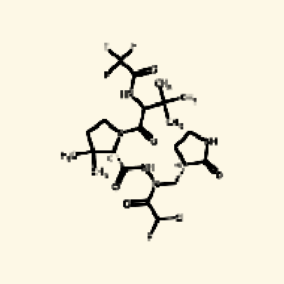 CC(C)(C)C(NC(=O)C(F)(F)F)C(=O)N1CCC(C)(C)[C@H]1C(=O)NN(C[C@@H]1CCNC1=O)C(=O)C(F)Cl